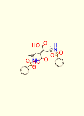 C[C@@H](CC(C(=O)O)=C(C[C@H](C)NS(=O)(=O)c1ccccc1)C(=O)O)NS(=O)(=O)c1ccccc1